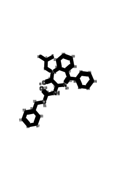 CC(C)CN1C(=O)C(NC(=O)OCc2ccccc2)N=C(c2ccccc2)c2ccccc21